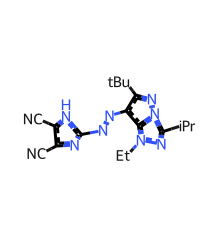 CCn1nc(C(C)C)n2nc(C(C)(C)C)c(N=Nc3nc(C#N)c(C#N)[nH]3)c12